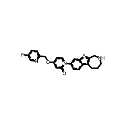 O=c1cc(OCc2ccc(F)cn2)ccn1-c1ccc2c3c(sc2c1)CNCCC3